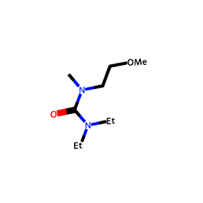 CCN(CC)C(=O)N(C)CCOC